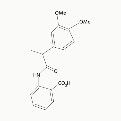 COc1ccc(C(C)C(=O)Nc2ccccc2C(=O)O)cc1OC